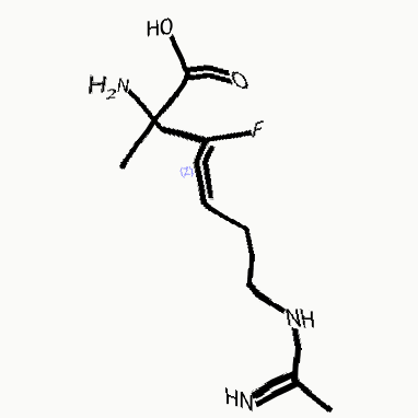 CC(=N)NCC/C=C(\F)C(C)(N)C(=O)O